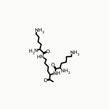 CC(=O)C(CCCCNC(=O)C(N)CCCCN)NC(=O)C(N)CCCCN